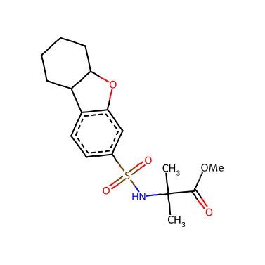 COC(=O)C(C)(C)NS(=O)(=O)c1ccc2c(c1)OC1CCCCC21